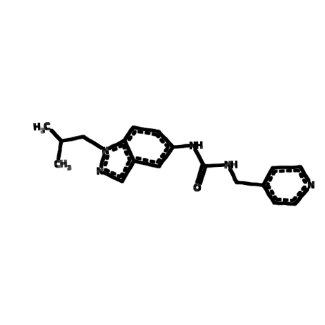 CC(C)Cn1ncc2cc(NC(=O)NCc3ccncc3)ccc21